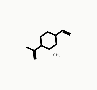 C.C=CC1CCC(C(=C)C)CC1